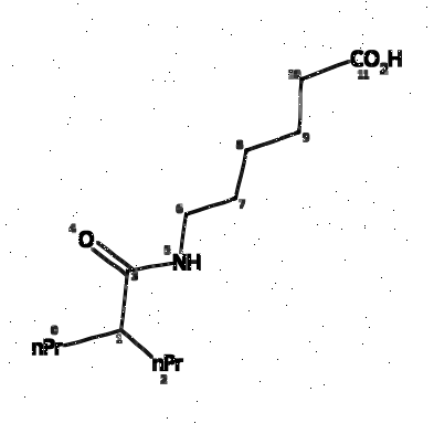 CCCC(CCC)C(=O)NCCCCCC(=O)O